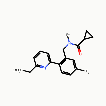 CCOC(=O)Cc1cccc(-c2ccc(C(F)(F)F)cc2CN(CC)C(=O)C2CC2)n1